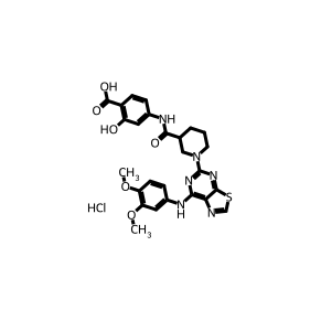 COc1ccc(Nc2nc(N3CCCC(C(=O)Nc4ccc(C(=O)O)c(O)c4)C3)nc3scnc23)cc1OC.Cl